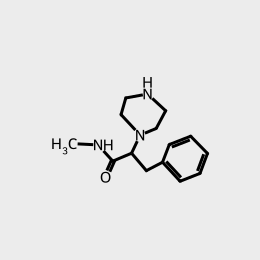 CNC(=O)C(Cc1ccccc1)N1CCNCC1